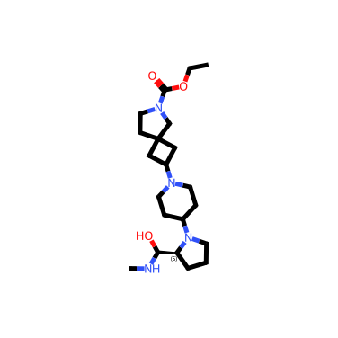 CCOC(=O)N1CCC2(CC(N3CCC(N4CCC[C@H]4C(O)NC)CC3)C2)C1